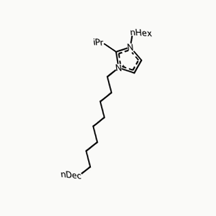 CCCCCCCCCCCCCCCCCC[n+]1ccn(CCCCCC)c1C(C)C